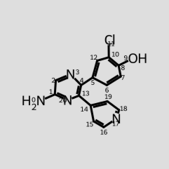 Nc1cnc(-c2ccc(O)c(Cl)c2)c(-c2ccncc2)n1